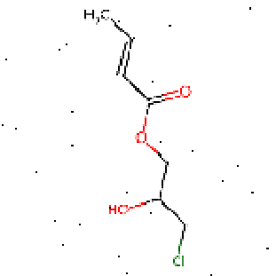 C/C=C/C(=O)OCC(O)CCl